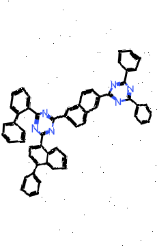 c1ccc(-c2nc(-c3ccccc3)nc(-c3ccc4cc(-c5nc(-c6ccccc6-c6ccccc6)nc(-c6ccc(-c7ccccc7)c7ccccc67)n5)ccc4c3)n2)cc1